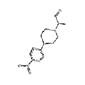 CC(C=O)N1CCN(c2ccc([N+](=O)[O-])nc2)CC1